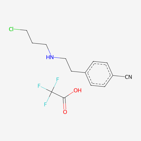 N#Cc1ccc(CCNCCCCl)cc1.O=C(O)C(F)(F)F